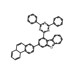 C1=CC2C=Cc3cc(-c4cc(-c5nc(-c6ccccc6)nc(-c6ccccc6)n5)c5c(c4)oc4ccccc45)ccc3C2C=C1